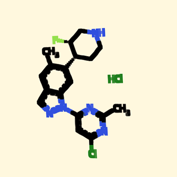 Cc1nc(Cl)cc(-n2ncc3cc(C)c([C@H]4CCNC[C@H]4F)cc32)n1.Cl